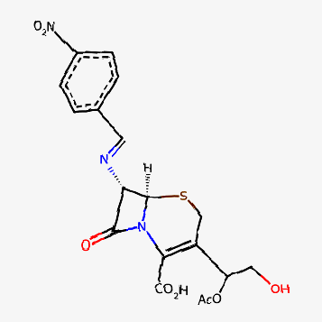 CC(=O)OC(CO)C1=C(C(=O)O)N2C(=O)[C@H](N=Cc3ccc([N+](=O)[O-])cc3)[C@H]2SC1